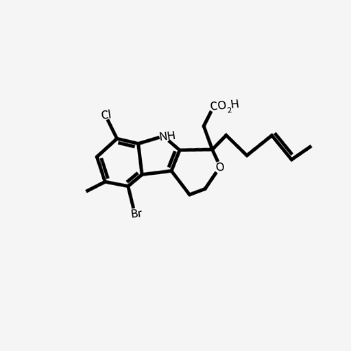 C/C=C/CCC1(CC(=O)O)OCCc2c1[nH]c1c(Cl)cc(C)c(Br)c21